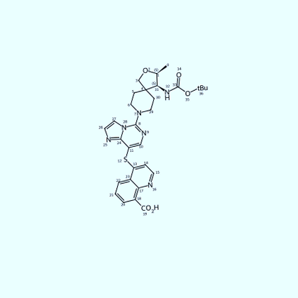 C[C@@H]1OCC2(CCN(c3ncc(Sc4ccnc5c(C(=O)O)cccc45)c4nccn34)CC2)[C@@H]1NC(=O)OC(C)(C)C